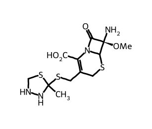 CO[C@]1(N)C(=O)N2C(C(=O)O)=C(CSC3(C)NNCS3)CSC21